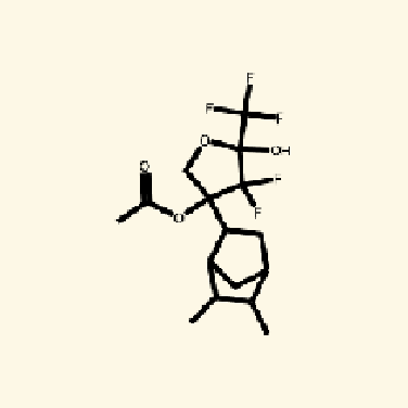 CC(=O)OC1(C2CC3CC2C(C)C3C)COC(O)(C(F)(F)F)C1(F)F